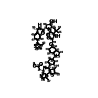 COC(=O)C[C@@H]1N=C(c2ccc(N3CCc4cc(OCC(=O)NC(C(=O)N5C[C@H](O)C[C@H]5C(=O)N[C@@H](C)c5ccc(-c6scnc6C)cc5)C(C)(C)C)ccc43)cc2)c2c(sc(C)c2C)-n2c(C)nnc21